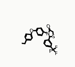 CCc1ccc(Oc2ccc(N3C(=O)CSC3c3cccc(C(F)(F)F)c3)cc2)cc1